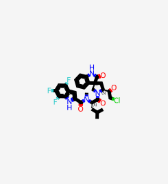 CC(C)C[C@@H](C(=O)N1C[C@]2(C[C@H]1C(=O)CCl)C(=O)Nc1ccccc12)N(C)C(=O)c1cc2c(F)cc(F)c(F)c2[nH]1